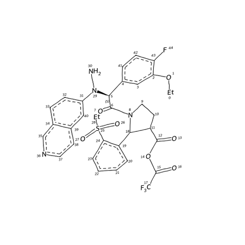 CCOc1cc([C@@H](C(=O)N2CCC(C(=O)OC(=O)C(F)(F)F)C2c2ccccc2S(=O)(=O)CC)N(N)c2ccc3cnccc3c2)ccc1F